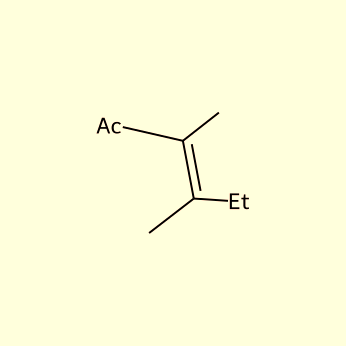 CC/C(C)=C(\C)C(C)=O